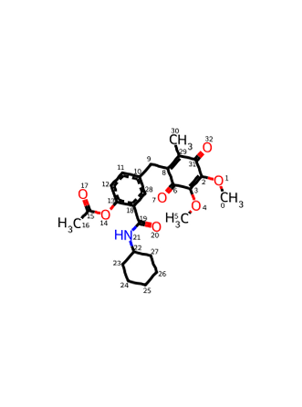 COC1=C(OC)C(=O)C(Cc2ccc(OC(C)=O)c(C(=O)NC3CCCCC3)c2)=C(C)C1=O